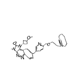 CO[C@H]1C[C@H](n2c(=O)n(C)c3nnc4ccc(-c5ccc(COCCN6CCCCC6)nc5)cc4c32)C1